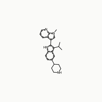 CC(C)c1c(-c2cn(C)c3ncccc23)[nH]c2ccc(C3CCNCC3)cc12